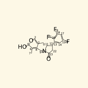 CC1=COC(O)C(C)=C1CN1CC(c2cc(F)cc(F)c2F)CC1=O